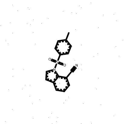 Cc1ccc(S(=O)(=O)n2ccc3cccc(C#N)c32)cc1